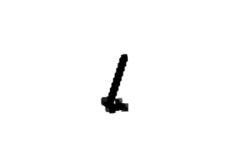 C=N/C(C#N)=C\C=C(/C)O[C@@H](CO)COCCCCCCCCCCCCCCCCCC